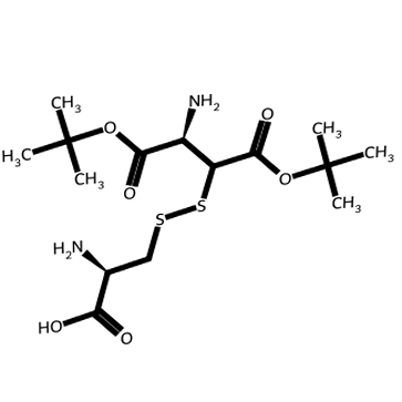 CC(C)(C)OC(=O)C(SSC[C@H](N)C(=O)O)[C@H](N)C(=O)OC(C)(C)C